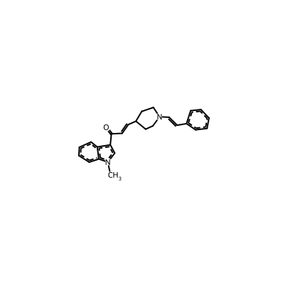 Cn1cc(C(=O)C=CC2CCN(C=Cc3ccccc3)CC2)c2ccccc21